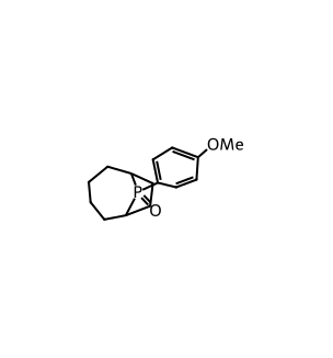 COc1ccc(P2(=O)C3CCCCC2CC3)cc1